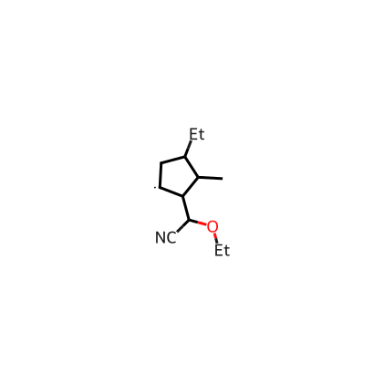 [CH2]CC1C[CH]C(C(C#N)OCC)C1C